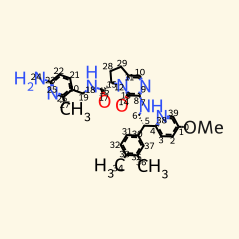 COc1ccc([C@@H](CNc2ncc3n(c2=O)[C@H](C(=O)NCc2ccc(N)nc2C)CC3)c2ccc(C)c(C)c2)nc1